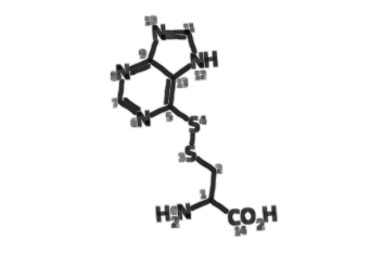 NC(CSSc1ncnc2nc[nH]c12)C(=O)O